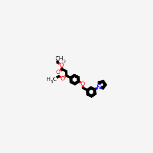 CCOC(=O)CC(OCC)c1ccc(OCc2cccc(-n3cccc3)c2)cc1